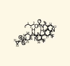 CCCCOC(=O)NC(C)c1ccnc2c(F)cc(-c3nc(NC4CCN(S(=O)(=O)C5CC5)CC4)ncc3F)cc12